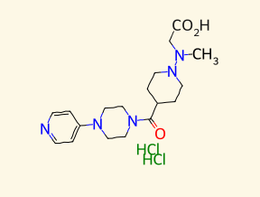 CN(CC(=O)O)N1CCC(C(=O)N2CCN(c3ccncc3)CC2)CC1.Cl.Cl